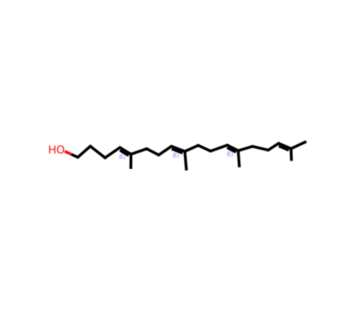 CC(C)=CCC/C(C)=C/CC/C(C)=C/CC/C(C)=C/CCCO